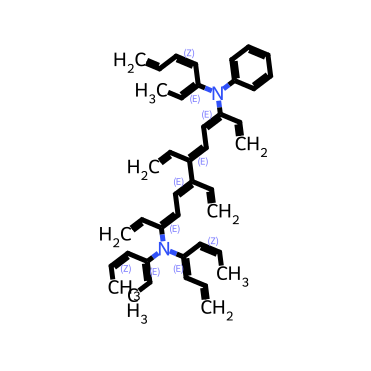 C=C/C=C\C(=C/C)N(/C(C=C)=C/C=C(C=C)/C(C=C)=C/C=C(\C=C)N(C(/C=C\C)=C/C)C(/C=C\C)=C/C=C)c1ccccc1